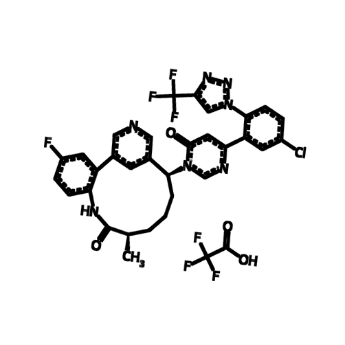 C[C@@H]1CCC[C@H](n2cnc(-c3cc(Cl)ccc3-n3cc(C(F)(F)F)nn3)cc2=O)c2cncc(c2)-c2cc(F)ccc2NC1=O.O=C(O)C(F)(F)F